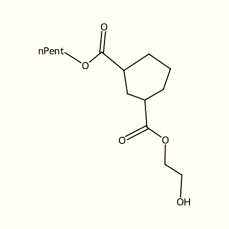 CCCCCOC(=O)C1CCCC(C(=O)OCCO)C1